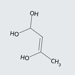 CC(O)=CC(O)O